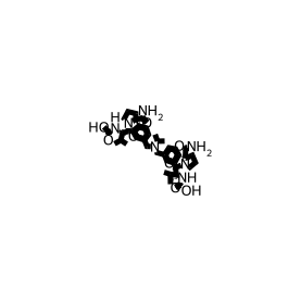 CC(C)[C@H](NC(=O)O)C(=O)N1CCC[C@@]1(C(N)=O)c1ccc(CN(Cc2ccc([C@]3(C(N)=O)CCCN3C(=O)[C@@H](NC(=O)O)C(C)C)cc2)C(C)C)cc1